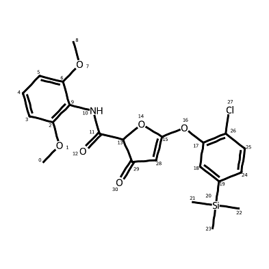 COc1cccc(OC)c1NC(=O)C1OC(Oc2cc([Si](C)(C)C)ccc2Cl)=CC1=O